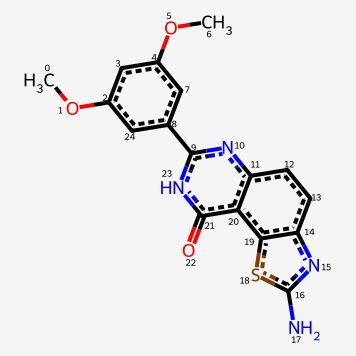 COc1cc(OC)cc(-c2nc3ccc4nc(N)sc4c3c(=O)[nH]2)c1